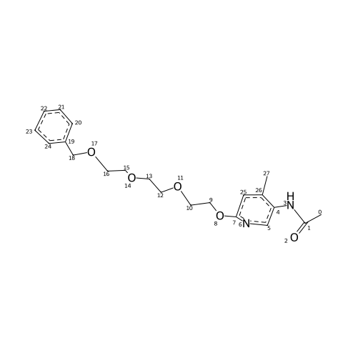 CC(=O)Nc1cnc(OCCOCCOCCOCc2ccccc2)cc1C